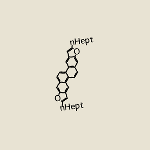 CCCCCCCc1cc2cc3c(ccc4c5cc6cc(CCCCCCC)oc6cc5ccc34)cc2o1